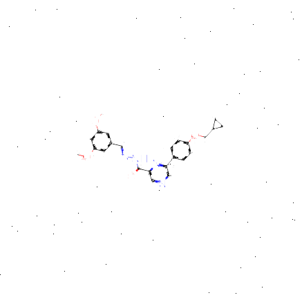 COc1cc(C=NNC(=O)c2cncc(-c3ccc(OCC4CC4)cc3)n2)cc(OC)c1